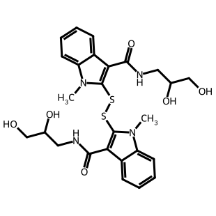 Cn1c(SSc2c(C(=O)NCC(O)CO)c3ccccc3n2C)c(C(=O)NCC(O)CO)c2ccccc21